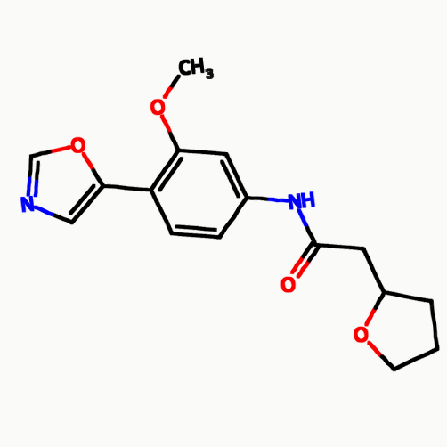 COc1cc(NC(=O)CC2CCCO2)ccc1-c1cnco1